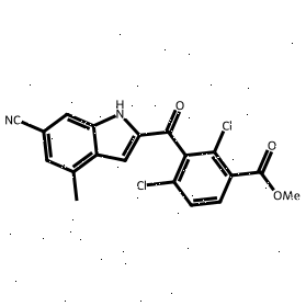 COC(=O)c1ccc(Cl)c(C(=O)c2cc3c(C)cc(C#N)cc3[nH]2)c1Cl